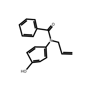 C=CCN(C(=O)c1ccccc1)c1ccc(O)cc1